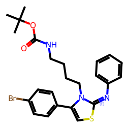 CC(C)(C)OC(=O)NCCCCn1c(-c2ccc(Br)cc2)cs/c1=N/c1ccccc1